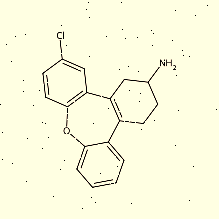 NC1CCC2=C(C1)c1cc(Cl)ccc1Oc1ccccc12